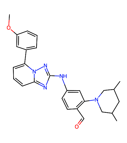 COc1cccc(-c2cccc3nc(Nc4ccc(C=O)c(N5CC(C)CC(C)C5)c4)nn23)c1